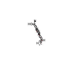 CCC(=O)NCOc1ccc(N=Nc2cc3sc(N=Nc4ccc(N(CCO)CCC#N)cc4)nc3s2)cc1